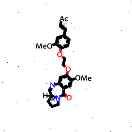 COc1cc(/C=C/C(C)=O)ccc1OCCOc1cc2c(cc1OC)C(=O)N1CCC[C@@H]1C=N2